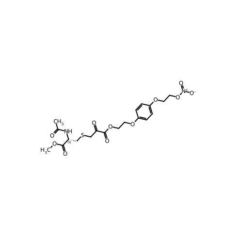 COC(=O)[C@@H](CSCC(=O)C(=O)OCCOc1ccc(OCCO[N+](=O)[O-])cc1)NC(C)=O